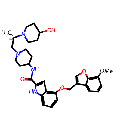 COc1cccc2c(COc3cccc4[nH]c(C(=O)NC5CCN(C[C@H](C)N6CCC(O)CC6)CC5)cc34)coc12